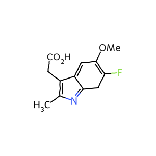 COC1=C(F)CC2=NC(C)=C(CC(=O)O)C2=C1